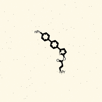 CCCC=CC(=O)Oc1ccc(-c2ccc(-c3ccc(CCC)cc3)cc2)s1